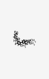 CPN(C)c1ncc2cc(-c3cc(NC(=O)N4CCC(CC(F)(F)F)C4)c(F)cc3C)cnc2n1